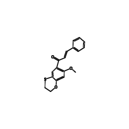 COc1cc2c(cc1C(=O)C=Cc1ccccc1)SCCO2